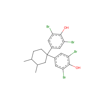 CC1CCC(c2cc(Br)c(O)c(Br)c2)(c2cc(Br)c(O)c(Br)c2)CC1C